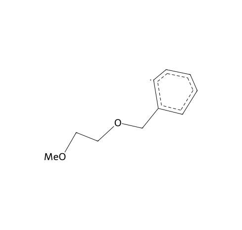 COCCOCc1[c]cccc1